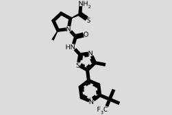 Cc1nc(NC(=O)N2[C@@H](C)CC[C@H]2C(N)=S)sc1-c1ccnc(C(C)(C)C(F)(F)F)c1